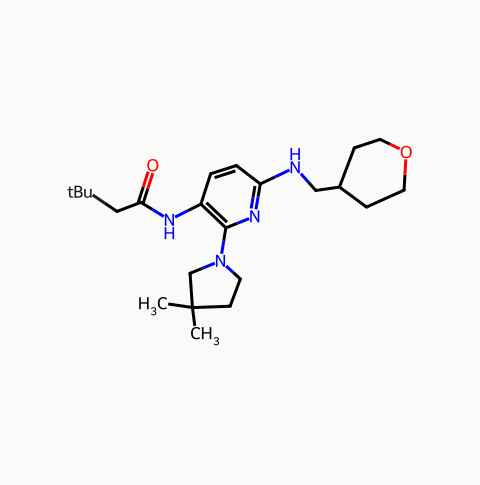 CC(C)(C)CC(=O)Nc1ccc(NCC2CCOCC2)nc1N1CCC(C)(C)C1